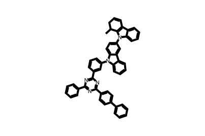 CC1CC=Cc2c1n(-c1ccc3c(c1)c1ccccc1n3-c1cccc(-c3nc(-c4ccccc4)nc(-c4ccc(-c5ccccc5)cc4)n3)c1)c1ccccc21